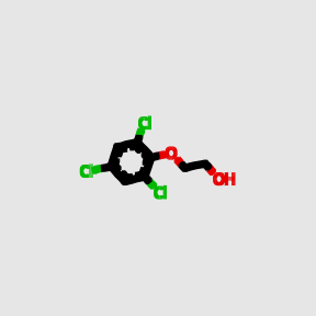 OCCOc1c(Cl)cc(Cl)cc1Cl